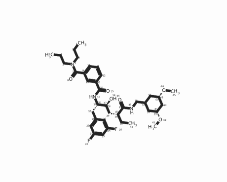 CCCN(CCC)C(=O)c1cccc(C(=O)N[C@@H](Cc2cc(F)cc(F)c2)[C@@H](O)C[C@@H](CC)C(=O)NCC2C[C@@H](OC)C[C@@H](OC)C2)c1